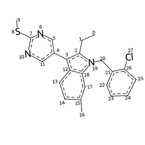 CCc1c(-c2cnc(SC)nc2)c2ccc(C)cc2n1Cc1ccccc1Cl